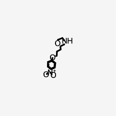 O=[N+]([O-])c1ccc(OCCCC2CNCCO2)cc1